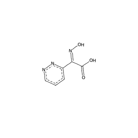 O=C(O)C(=NO)c1cccnn1